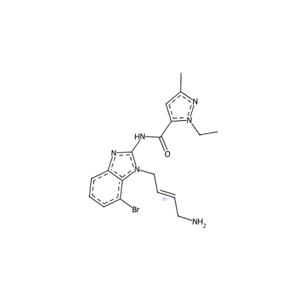 CCn1nc(C)cc1C(=O)Nc1nc2cccc(Br)c2n1C/C=C/CN